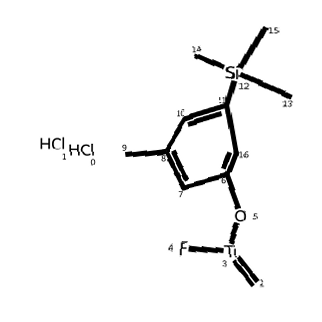 Cl.Cl.[CH2]=[Ti]([F])[O]c1cc(C)cc([Si](C)(C)C)c1